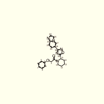 O=C(COc1ccccc1)N1CCCC[C@@H]1c1nc(-c2ccc3nccn3c2)no1